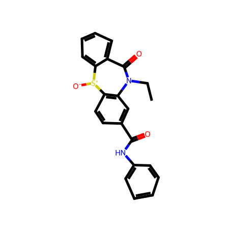 CCN1C(=O)c2ccccc2[S+]([O-])c2ccc(C(=O)Nc3ccccc3)cc21